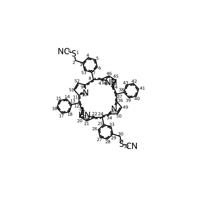 N#CSCc1cccc(-c2c3nc(c(-c4ccccc4)c4ccc([nH]4)c(-c4cccc(CSC#N)c4)c4nc(c(-c5ccccc5)c5ccc2[nH]5)C=C4)C=C3)c1